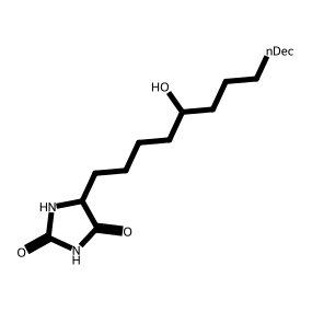 CCCCCCCCCCCCCC(O)CCCCC1NC(=O)NC1=O